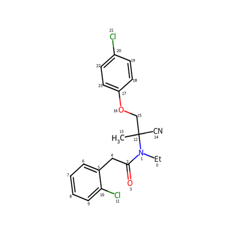 CCN(C(=O)Cc1ccccc1Cl)C(C)(C#N)COc1ccc(Cl)cc1